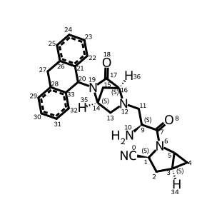 N#C[C@@H]1C[C@@H]2CC2N1C(=O)[C@@H](N)CN1C[C@@H]2C[C@H]1C(=O)N2C1c2ccccc2Cc2ccccc21